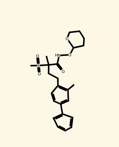 Cc1cc(-c2ccccc2)ccc1CCC(C)(C(=O)NOC1CCCCO1)S(C)(=O)=O